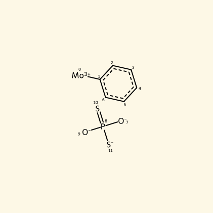 [Mo+3][c]1ccccc1.[O-]P([O-])(=S)[S-]